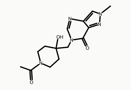 CC(=O)N1CCC(O)(Cn2cnc3cn(C)nc3c2=O)CC1